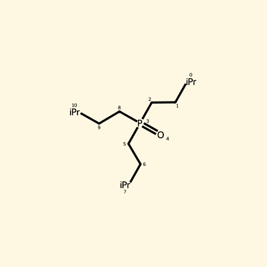 CC(C)CCP(=O)(CCC(C)C)CCC(C)C